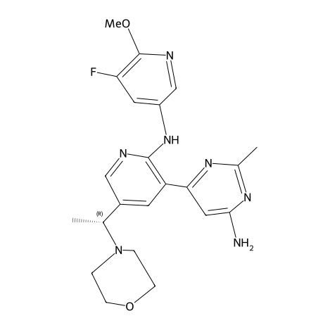 COc1ncc(Nc2ncc([C@@H](C)N3CCOCC3)cc2-c2cc(N)nc(C)n2)cc1F